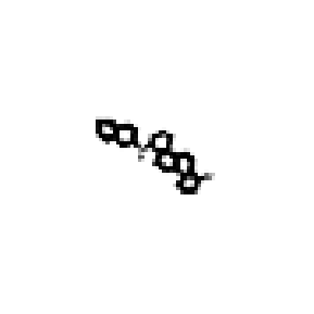 Brc1cccc2c1ccc1c3c(ccc12)C(Nc1ccc2ccccc2c1)CCC3